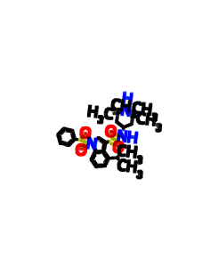 CC(C)c1cccc2c1c(S(=O)(=O)NC1CC(C)(C)NC(C)(C)C1)cn2S(=O)(=O)c1ccccc1